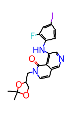 CC1(C)OCC(Cn2ccc3cncc(Nc4ccc(I)cc4F)c3c2=O)O1